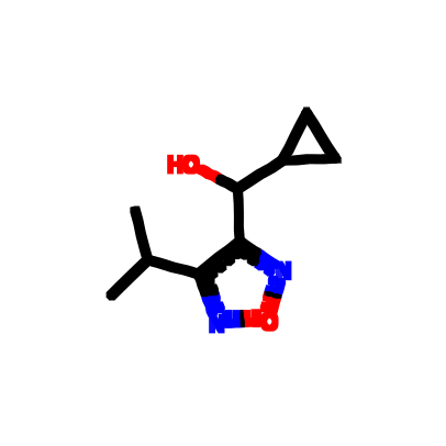 CC(C)c1nonc1C(O)C1CC1